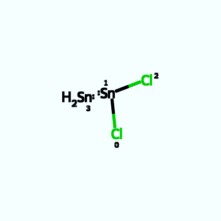 [Cl][Sn][Cl].[SnH2]